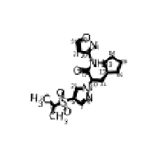 CC(C)S(=O)(=O)c1cnn(C(CC2CCCC2)C(=O)Nc2ccon2)c1